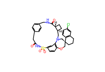 O=C1Cc2ccc(cc2)CNC(=O)[C@@H]2CC[C@H]2CN2C[C@@]3(CCCc4cc(Cl)ccc43)COc3ccc(cc32)S(=O)(=O)N1